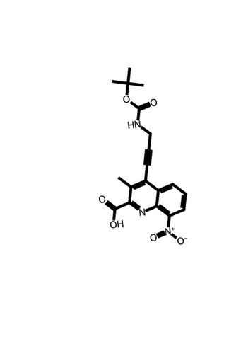 Cc1c(C(=O)O)nc2c([N+](=O)[O-])cccc2c1C#CCNC(=O)OC(C)(C)C